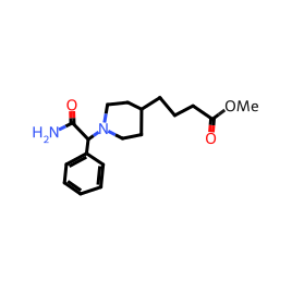 COC(=O)CCCC1CCN(C(C(N)=O)c2ccccc2)CC1